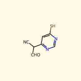 N#CC(C=O)c1cc(S)ncn1